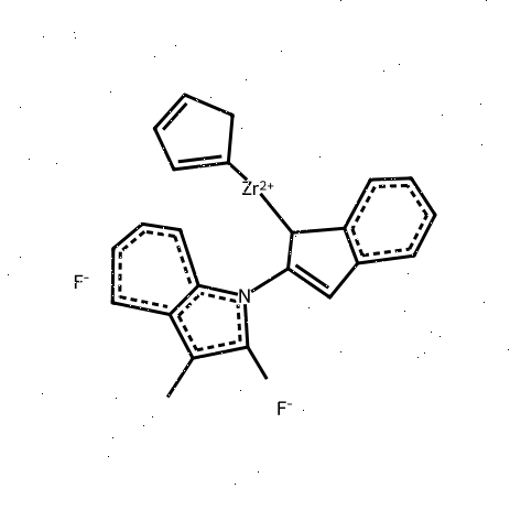 Cc1c(C)n(C2=Cc3ccccc3[CH]2[Zr+2][C]2=CC=CC2)c2ccccc12.[F-].[F-]